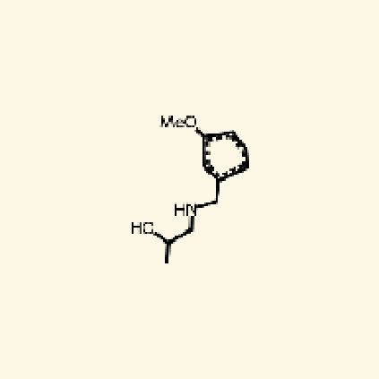 COc1cccc(CNCC(C)O)c1